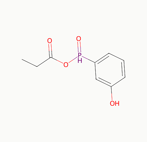 CCC(=O)O[PH](=O)c1cccc(O)c1